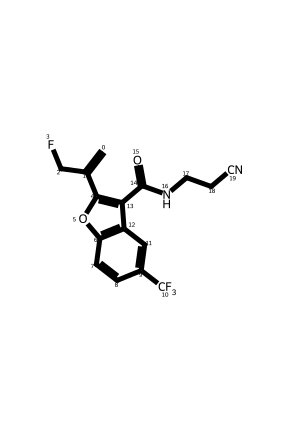 C=C(CF)c1oc2ccc(C(F)(F)F)cc2c1C(=O)NCCC#N